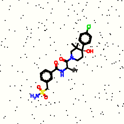 CC(C)[C@@H](NC(=O)c1cccc(CS(N)(=O)=O)c1)C(=O)N1CC[C@](O)(c2ccc(Cl)cc2)C(C)(C)C1